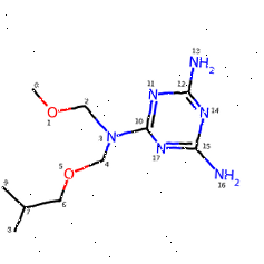 COCN(COCC(C)C)c1nc(N)nc(N)n1